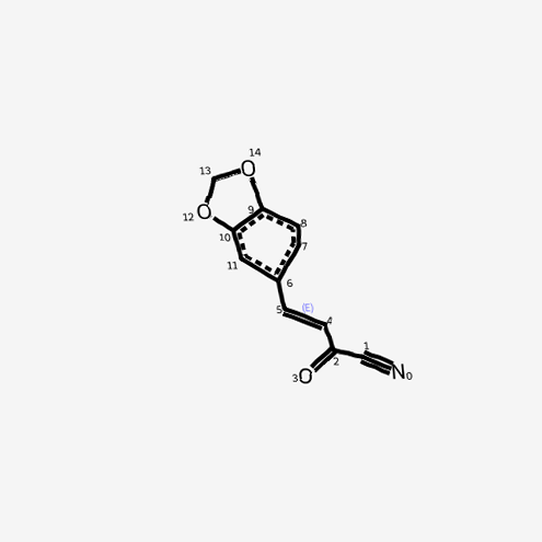 N#CC(=O)/C=C/c1ccc2c(c1)OCO2